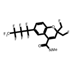 CNC(=O)C1=CC(CF)(CF)Oc2ccc(C(F)(F)C(F)(F)C(F)(F)C(F)(F)F)cc21